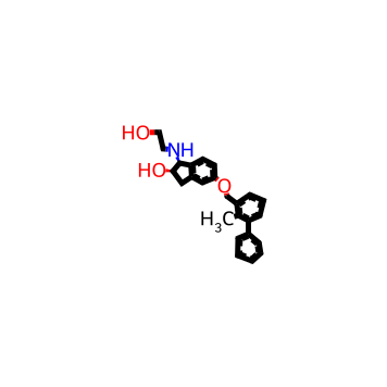 Cc1c(COc2ccc3c(c2)C[C@@H](O)[C@H]3NCCO)cccc1-c1ccccc1